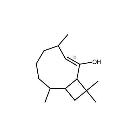 CC1/C=C(\O)C2C(CC2(C)C)C(C)CCC1